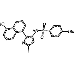 Cc1cc(NS(=O)(=O)c2ccc(C(C)(C)C)cc2)n(-c2cccc3c(O)cccc23)n1